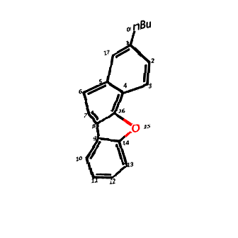 CCCCc1ccc2c(ccc3c4ccccc4oc23)c1